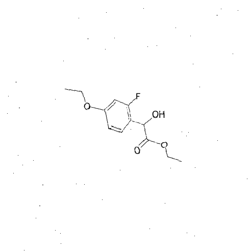 CCOC(=O)C(O)c1ccc(OCC)cc1F